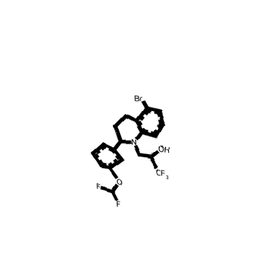 OC(CN1c2cccc(Br)c2CCC1c1cccc(OC(F)F)c1)C(F)(F)F